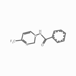 O=C(NN1C=CC(C(F)(F)F)=NC1)c1ccccc1